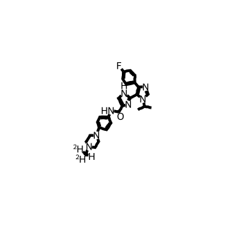 [2H]C([2H])([2H])N1CCN(c2ccc(NC(=O)c3c[nH]c(-c4c(-c5ccc(F)cc5)ncn4C(C)C)n3)cc2)CC1